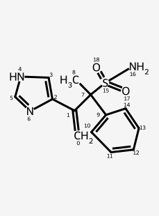 C=C(c1c[nH]cn1)C(C)(c1ccccc1)S(N)(=O)=O